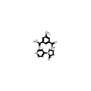 Cc1cc(C(=O)O)cc(C(=O)O)c1.O=C1CCCN1c1ccncc1